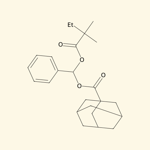 CCC(C)(C)C(=O)OC(OC(=O)C12CC3CC(CC(C3)C1)C2)c1ccccc1